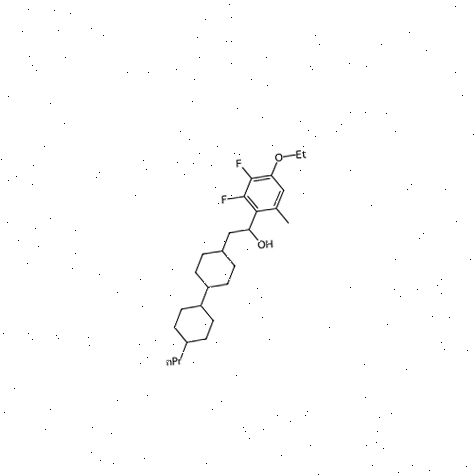 CCCC1CCC(C2CCC(CC(O)c3c(C)cc(OCC)c(F)c3F)CC2)CC1